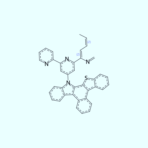 C=N/C(=C\C=C/C)c1cc(-n2c3ccccc3c3c4ccccc4c4c5ccccc5sc4c32)cc(-c2ccccn2)n1